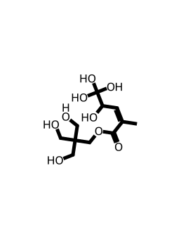 CC(=CC(O)C(O)(O)O)C(=O)OCC(CO)(CO)CO